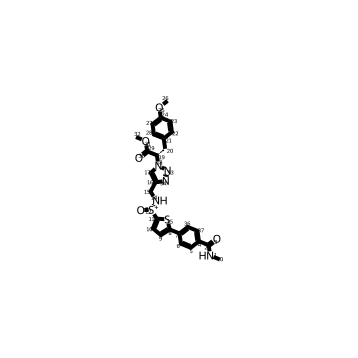 CNC(=O)c1ccc(-c2ccc([S+]([O-])NCc3cn([C@@H](Cc4ccc(OC)cc4)C(=O)OC)nn3)s2)cc1